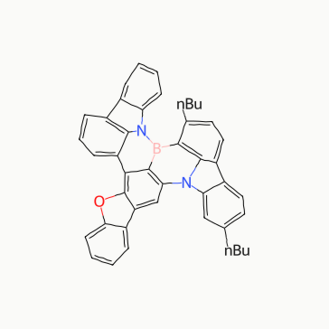 CCCCc1ccc2c3ccc(CCCC)c4c3n(c2c1)-c1cc2c(oc3ccccc32)c2c1B4n1c3ccccc3c3cccc-2c31